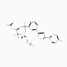 CC1(C)C(NC(=O)O)=N[C@](C)(c2cc(-c3cc(-c4ncc(Cl)cn4)no3)ccc2F)CS1(=O)=NCC(F)(F)F